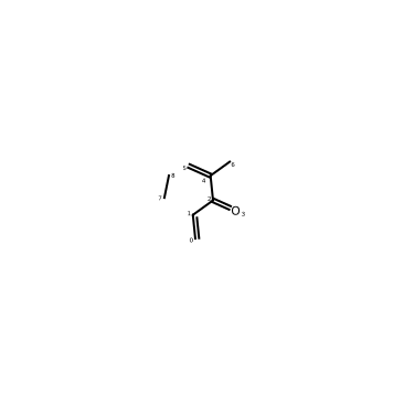 C=CC(=O)C(=C)C.CC